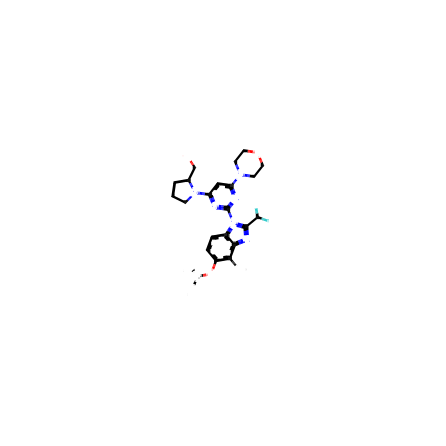 C[SiH](C)Oc1ccc2c(nc(C(F)F)n2-c2nc(N3CCOCC3)cc(N3CCCC3CO)n2)c1C(C)(C)C